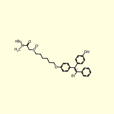 CCCCN(C)C(=O)C[S+]([O-])CCCCCCOc1ccc(/C(=C(\CC)c2ccccc2)c2ccc(O)cc2)cc1